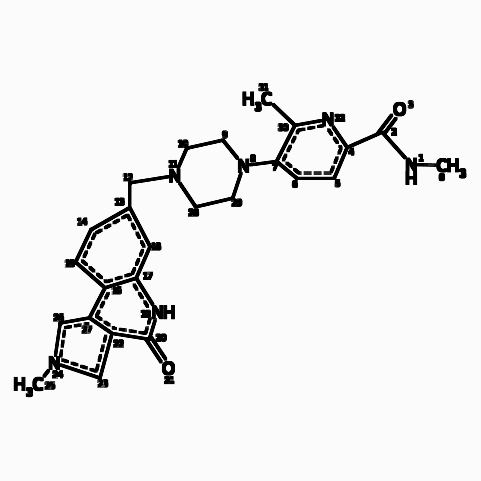 CNC(=O)c1ccc(N2CCN(Cc3ccc4c(c3)[nH]c(=O)c3cn(C)cc34)CC2)c(C)n1